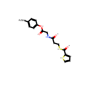 CC(=O)Nc1ccc(OC(=O)CNC(=O)CCSC(=O)c2cccs2)cc1